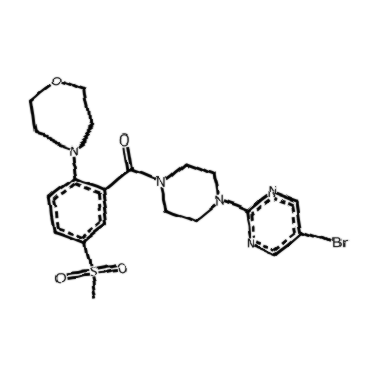 CS(=O)(=O)c1ccc(N2CCOCC2)c(C(=O)N2CCN(c3ncc(Br)cn3)CC2)c1